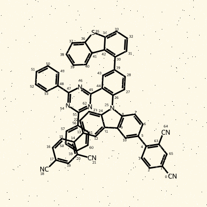 N#Cc1ccc(-c2ccc3c(c2)c2cc(-c4ccc(C#N)cc4C#N)ccc2n3-c2ccc(-c3cccc4sc5ccccc5c34)cc2-c2nc(-c3ccccc3)nc(-c3ccccc3)n2)c(C#N)c1